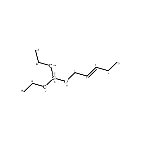 CCC=CCO[SiH](OCC)OCC